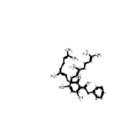 CC(C)=CCC/C(C)=C/CC1(C/C=C(\C)CCC=C(C)C)C(=O)C(C(=O)Cc2ccccc2)=C(O)C=C1O